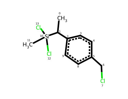 CC(c1ccc(CCl)cc1)[Si](C)(Cl)Cl